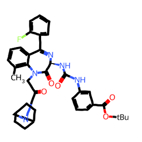 Cc1cccc2c1N(CC(=O)N1CC3CCC(CC3)C1)C(=O)[C@H](NC(=O)Nc1cccc(C(=O)OC(C)(C)C)c1)N=C2c1ccccc1F